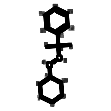 CC(C)(OOC1CCCCC1)c1ccccc1